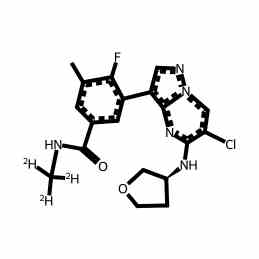 [2H]C([2H])([2H])NC(=O)c1cc(C)c(F)c(-c2cnn3cc(Cl)c(N[C@H]4CCOC4)nc23)c1